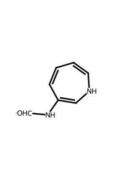 O=[C]NC1=CNC=CC=C1